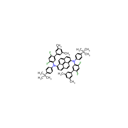 Cc1cc(C)cc(-c2cc(N(c3ccc([Si](C)(C)C)cc3)c3ccc4ccc5c(N(c6ccc([Si](C)(C)C)cc6)c6cc(-c7cc(C)cc(C)c7)c(F)cc6F)ccc6ccc3c4c65)c(F)cc2F)c1